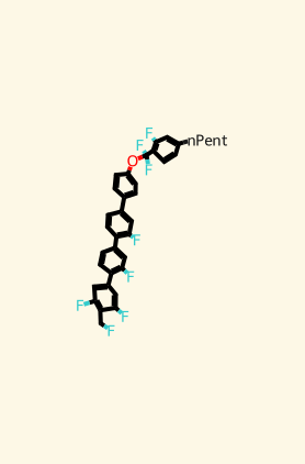 CCCCCc1ccc(C(F)(F)Oc2ccc(-c3ccc(-c4ccc(-c5cc(F)c(CF)c(F)c5)c(F)c4)c(F)c3)cc2)c(F)c1